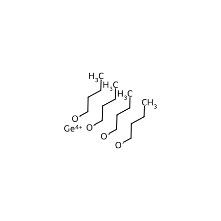 CCCC[O-].CCCC[O-].CCCC[O-].CCCC[O-].[Ge+4]